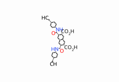 C#Cc1ccc(NC(=O)c2cc3cc(C(=O)Nc4ccc(C#C)cc4)c(C(=O)O)cc3cc2C(=O)O)cc1